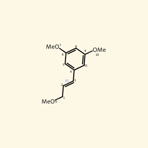 [CH2]OC/C=C/c1cc(OC)cc(OC)c1